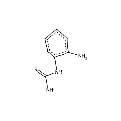 [NH]C(=S)Nc1ccccc1N